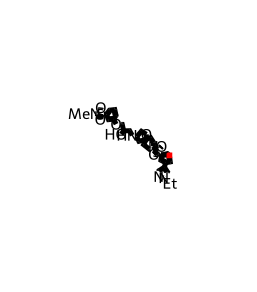 CCn1cc(-c2cccc(S(=O)(=O)N3CCC4(CC3)CC(NCC(O)COc3cccc(S(=O)(=O)NC)c3)CO4)c2)cn1